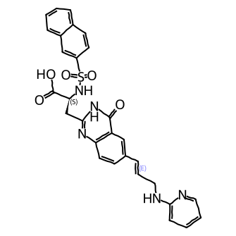 O=C(O)[C@H](Cc1nc2ccc(/C=C/CNc3ccccn3)cc2c(=O)[nH]1)NS(=O)(=O)c1ccc2ccccc2c1